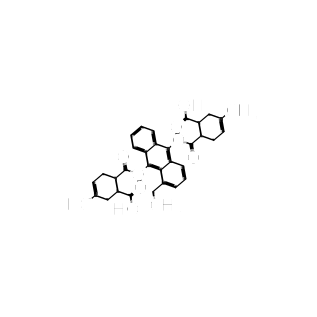 CCc1cccc2c(OC(=O)C3CC=C(C)CC3C(=O)O)c3ccccc3c(OC(=O)C3CC=C(C)CC3C(=O)O)c12